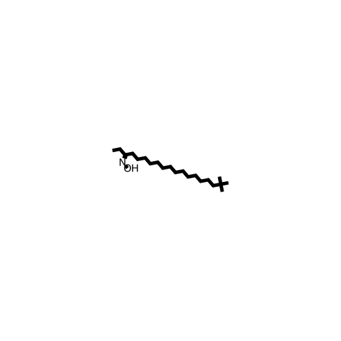 CCC(CCCCCCCCCCCCCCC(C)(C)C)=NO